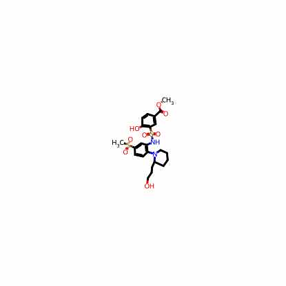 COC(=O)c1ccc(O)c(S(=O)(=O)Nc2cc(S(C)(=O)=O)ccc2N2CCCCC2CCCO)c1